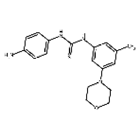 Nc1ccc(NC(=S)Nc2cc(N3CCOCC3)cc(C(F)(F)F)c2)cc1